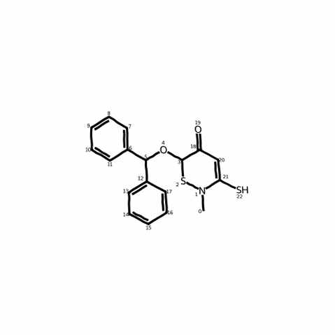 CN1SC(OC(c2ccccc2)c2ccccc2)C(=O)C=C1S